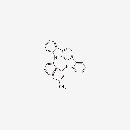 Cc1cccc(-n2c3ccccc3c3ccc4c5ccccc5n(-c5ccccc5)c4c32)c1